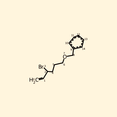 C=CC(Br)CCCOCc1ccccc1